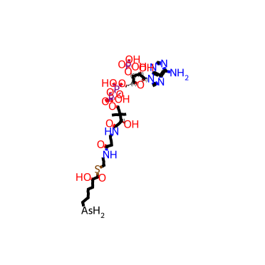 CC(C)(COP(=O)(O)OP(=O)(O)OC[C@H]1O[C@@H](n2cnc3c(N)ncnc32)[C@H](O)[C@@H]1OP(=O)(O)O)[C@@H](O)C(=O)NCCC(=O)NCCSC(=O)C(O)CCCC[AsH2]